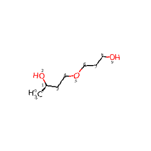 C[C@@H](O)CCOCCCO